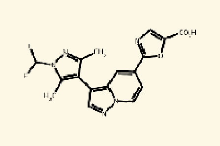 Cc1nn(C(F)F)c(C)c1-c1cnn2ccc(-c3ncc(C(=O)O)o3)cc12